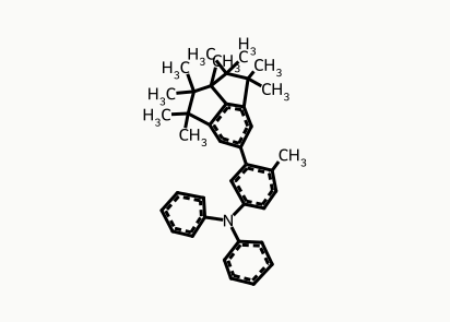 Cc1ccc(N(c2ccccc2)c2ccccc2)cc1-c1cc2c3c(c1)C(C)(C)C(C)(C)C3(C)C(C)(C)C2(C)C